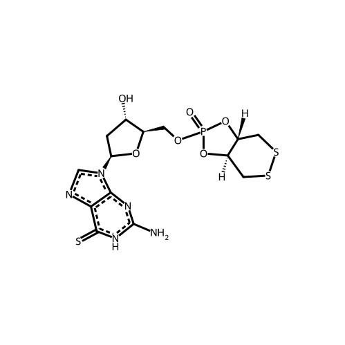 Nc1nc2c(ncn2[C@H]2C[C@H](O)[C@@H](COP3(=O)O[C@@H]4CSSC[C@H]4O3)O2)c(=S)[nH]1